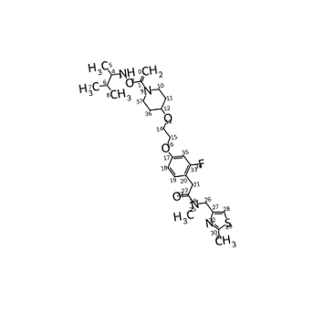 C=C(ONC(C)C(C)C)N1CCC(OCCOc2ccc(CC(=O)N(C)Cc3csc(C)n3)c(F)c2)CC1